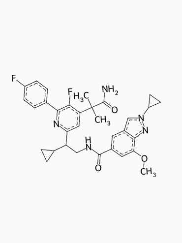 COc1cc(C(=O)NCC(c2cc(C(C)(C)C(N)=O)c(F)c(-c3ccc(F)cc3)n2)C2CC2)cc2cn(C3CC3)nc12